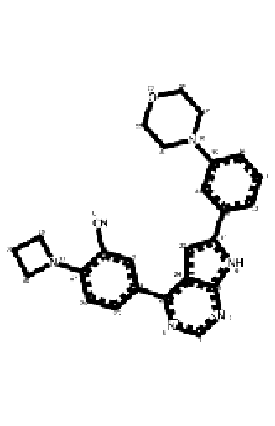 N#Cc1cc(-c2ncnc3[nH]c(-c4cccc(N5CCOCC5)c4)cc23)ccc1N1CCC1